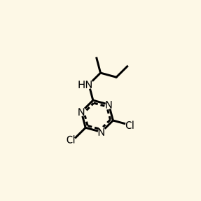 CCC(C)Nc1nc(Cl)nc(Cl)n1